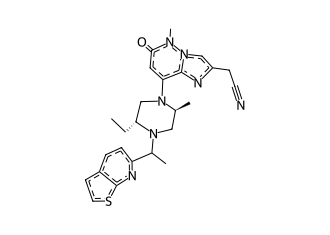 CC[C@@H]1CN(c2cc(=O)n(C)n3cc(CC#N)nc23)[C@@H](C)CN1C(C)c1ccc2ccsc2n1